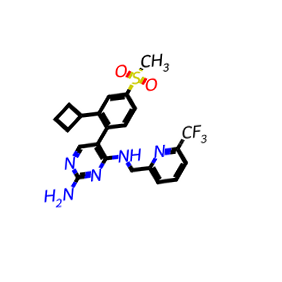 CS(=O)(=O)c1ccc(-c2cnc(N)nc2NCc2cccc(C(F)(F)F)n2)c(C2CCC2)c1